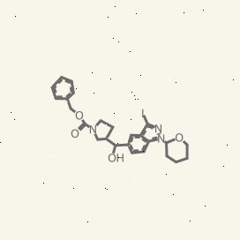 O=C(OCc1ccccc1)N1CCC(C(O)c2ccc3c(c2)c(I)nn3C2CCCCO2)C1